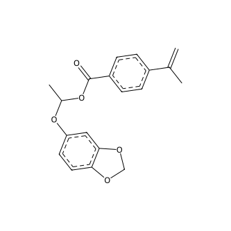 C=C(C)c1ccc(C(=O)OC(C)Oc2ccc3c(c2)OCO3)cc1